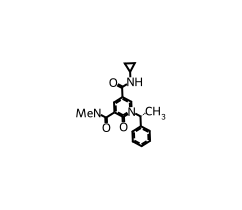 CNC(=O)c1cc(C(=O)NC2CC2)cn([C@H](C)c2ccccc2)c1=O